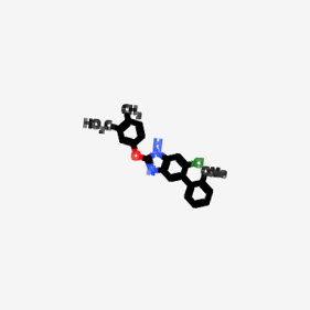 COc1ccccc1-c1cc2nc(Oc3ccc(C)c(C(=O)O)c3)[nH]c2cc1Cl